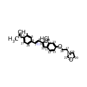 CN(C)c1ccc(/C=C/c2cc3ccc(OCCN4CCOC4)cc3o2)cc1.Cl